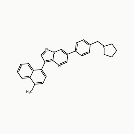 Cc1ccc(-c2cnn3cc(-c4ccc(CN5CCCC5)cc4)cnc23)c2ccccc12